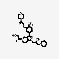 O=C(CSc1cc(-c2nn(CC(O)CN3CCCCC3)c3c2CN(C(=O)CO)CC3)ccc1C(F)(F)F)N1CCOCC1